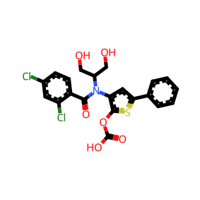 O=C(O)Oc1sc(-c2ccccc2)cc1N(C(=O)c1ccc(Cl)cc1Cl)C(CO)CO